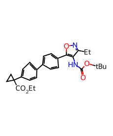 CCOC(=O)C1(c2ccc(-c3ccc(-c4onc(CC)c4NC(=O)OC(C)(C)C)cc3)cc2)CC1